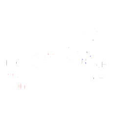 CC(C)Cn1nc(-c2ccccc2)c2ccc(COc3ccc(C(C)CC(=O)O)cc3)cc21